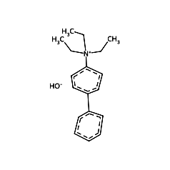 CC[N+](CC)(CC)c1ccc(-c2ccccc2)cc1.[OH-]